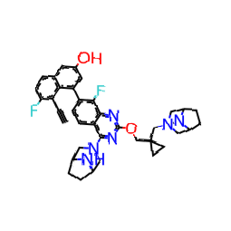 C#Cc1c(F)ccc2cc(O)cc(-c3ccc4c(N5CC6CCC(C5)N6)nc(OCC5(CN6CC7CCC(C6)N7C)CC5)nc4c3F)c12